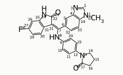 Cn1cnc2cc(C(Nc3ccc(N4CCCC4=O)cc3)=C3C(=O)Nc4cc(F)ccc43)ccc21